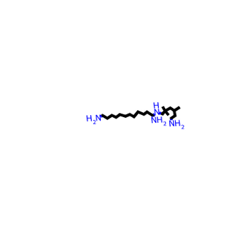 CC(CCN)CC(C)(C)CNC(N)CCCCCCCCCCCN